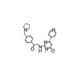 Cn1c(NCC(=O)c2ccc(CN3CCCC3)cc2)nc(-c2ccncc2)cc1=O